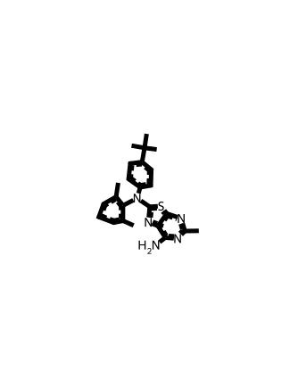 Cc1nc(N)c2nc(N(c3ccc(C(C)(C)C)cc3)c3c(C)cccc3C)sc2n1